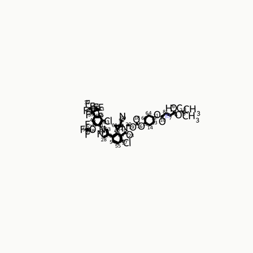 CC(C)(C)OC(=O)/C=C/C(=O)O[C@H]1CC[C@@H](OC(=O)OCN(C(=O)c2cc(-c3cnn(-c4c(Cl)cc(C(F)(C(F)(F)F)C(F)(F)F)cc4OC(F)(F)F)c3)ccc2Cl)C2(C#N)CC2)CC1